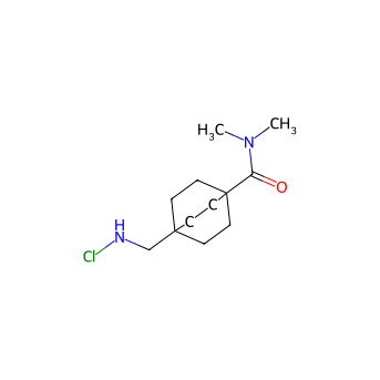 CN(C)C(=O)C12CCC(CNCl)(CC1)CC2